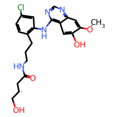 COc1cc2ncnc(Nc3cc(Cl)ccc3CCCNC(=O)C[CH]CO)c2cc1O